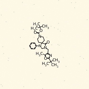 Cc1oc(C(C)(C)C)nc1CN1CN(c2ccccc2)C2(CCN(C(=O)OC(C)(C)C)CC2)C1=O